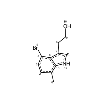 Cc1ccc(Br)c2c(CCO)c[nH]c12